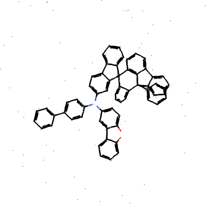 c1ccc(-c2ccc(N(c3ccc4c(c3)C3(c5ccccc5-4)c4ccccc4C4(c5ccccc5)c5ccccc5-c5cccc3c54)c3ccc4oc5ccccc5c4c3)cc2)cc1